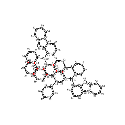 c1ccc(-c2ccccc2N(c2cc(-c3ccccc3)c3cc(-c4ccccc4)c(N(c4ccccc4-c4ccccc4)c4cccc5c4oc4ccccc45)cc3c2)c2cccc3c2oc2ccccc23)cc1